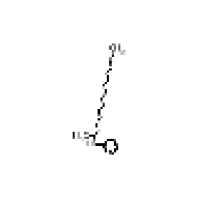 CCCCCCCCCCCCCCC(C)Nc1ccccc1